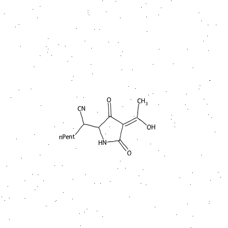 CCCCCC(C#N)C1NC(=O)/C(=C(/C)O)C1=O